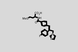 CSCCC(NC(=O)c1ccc(C=C(Cn2ccnc2)c2ccc(F)cc2)cc1)C(=O)O